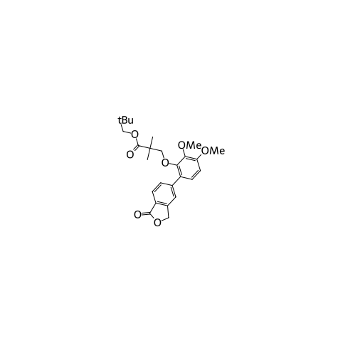 COc1ccc(-c2ccc3c(c2)COC3=O)c(OCC(C)(C)C(=O)OCC(C)(C)C)c1OC